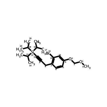 COCOc1ccc(CC#C[Si](C(C)C)(C(C)C)C(C)C)c(Br)c1